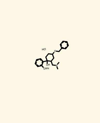 COc1ccccc1C1(O)CCC(OCc2ccccc2)CC1CN(C)C.Cl